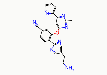 Cc1nc(Oc2cc(C#N)ccc2-c2ncc(CCN)cn2)cc(-c2ccccn2)n1